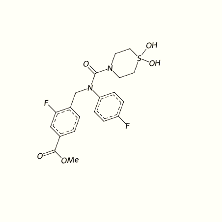 COC(=O)c1ccc(CN(C(=O)N2CCS(O)(O)CC2)c2ccc(F)cc2)c(F)c1